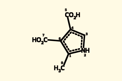 Cc1[nH]cc(C(=O)O)c1C(=O)O